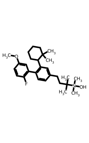 COc1ccc(F)c(-c2ccc(CCC(C)(C)[Si](C)(C)O)cc2C2CCCCC2(C)C)c1